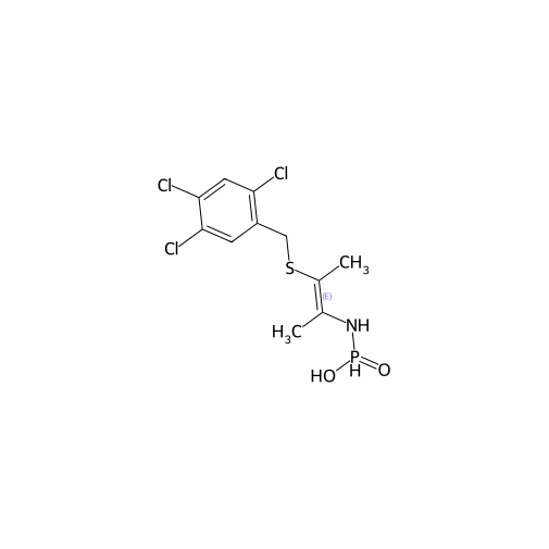 C/C(N[PH](=O)O)=C(/C)SCc1cc(Cl)c(Cl)cc1Cl